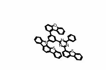 c1ccc(-c2nc(-c3cc(-c4cccc5oc6ccccc6c45)cc(-n4c5ccccc5c5ccc6c7ccccc7sc6c54)c3)nc(-c3cccc4c3sc3ccccc34)n2)cc1